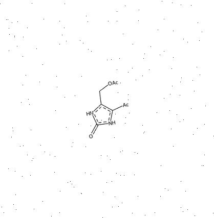 CC(=O)OCc1[nH]c(=O)[nH]c1C(C)=O